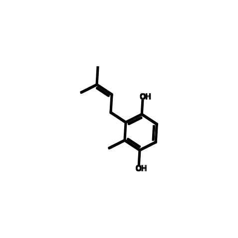 CC(C)=CCc1c(O)ccc(O)c1C